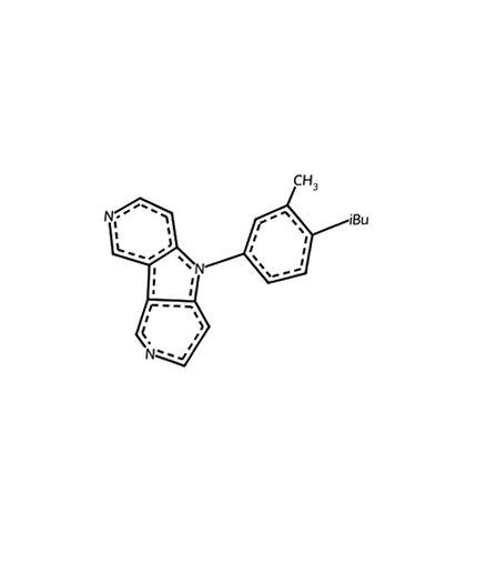 CCC(C)c1ccc(-n2c3ccncc3c3cnccc32)cc1C